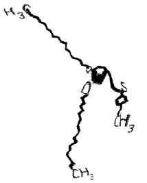 CCCCCCCCCCCCCCCCCOc1ccc(C=CC(=S)c2ccc(CCC)cc2)cc1OCCCCCCCCCCCCCCCCC